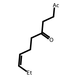 CC/C=C\CCC(=O)CCC(C)=O